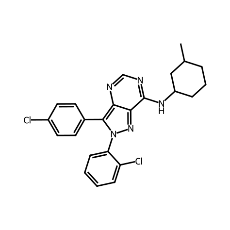 CC1CCCC(Nc2ncnc3c(-c4ccc(Cl)cc4)n(-c4ccccc4Cl)nc23)C1